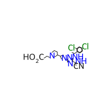 CC(Nc1nc(N2CC(C3CCCN(CCCC(=O)O)C3)C2)cnc1C(=N)C#N)c1ccc(Cl)cc1Cl